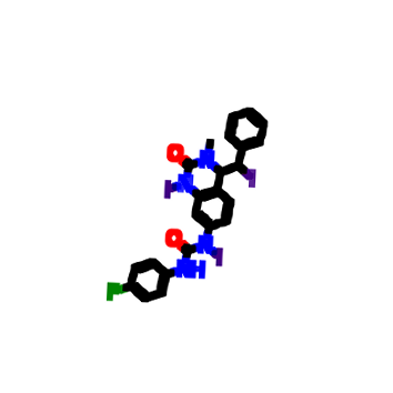 CN1C(=O)N(I)c2cc(N(I)C(=O)Nc3ccc(F)cc3)ccc2C1C(I)c1ccccc1